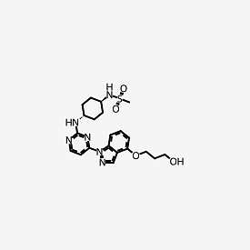 CS(=O)(=O)N[C@H]1CC[C@H](Nc2nccc(-n3ncc4c(OCCCO)cccc43)n2)CC1